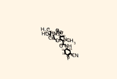 C=CC(C)(O)[C@H]1COc2c(cn(C)c2C(=O)Nc2ccc(F)c(C#N)c2)S(=O)(=O)N1